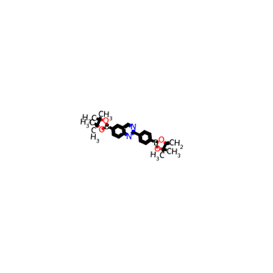 C=C1OB(c2ccc(-c3ncc4cc(B5OC(C)(C)C(C)(C)O5)ccc4n3)cc2)OC1(C)C